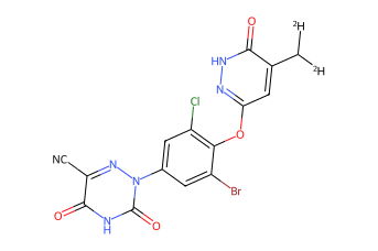 [2H]C([2H])c1cc(Oc2c(Cl)cc(-n3nc(C#N)c(=O)[nH]c3=O)cc2Br)n[nH]c1=O